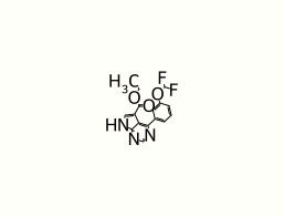 CCOC(=O)c1c[nH]c2ncnc(-c3cccc(OC(F)F)c3)c12